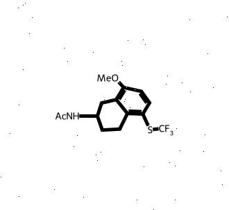 COc1ccc(SC(F)(F)F)c2c1CC(NC(C)=O)CC2